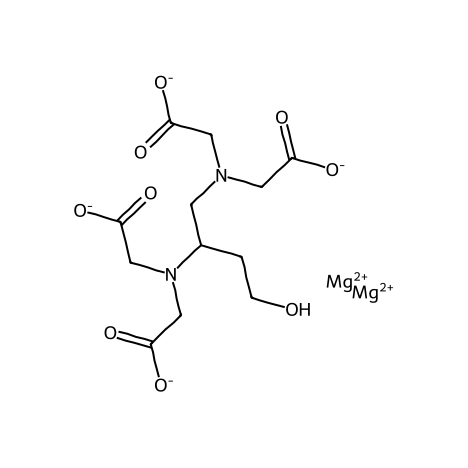 O=C([O-])CN(CC(=O)[O-])CC(CCO)N(CC(=O)[O-])CC(=O)[O-].[Mg+2].[Mg+2]